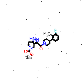 CC(C)(C)OC(=O)N1CCc2[nH]nc(C(=O)N3CCC(c4cccc(F)c4C(F)(F)F)CC3)c2C1